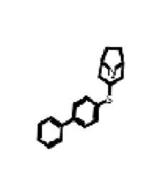 CN1C2CCC1CC(Sc1ccc(-c3ccccc3)cc1)C2